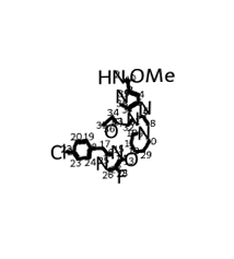 COC(=N)c1cc2nc(CN3CCC(Oc4nc(Cc5ccc(Cl)cc5)ncc4F)CC3)n(C[C@@H]3CCO3)c2cn1